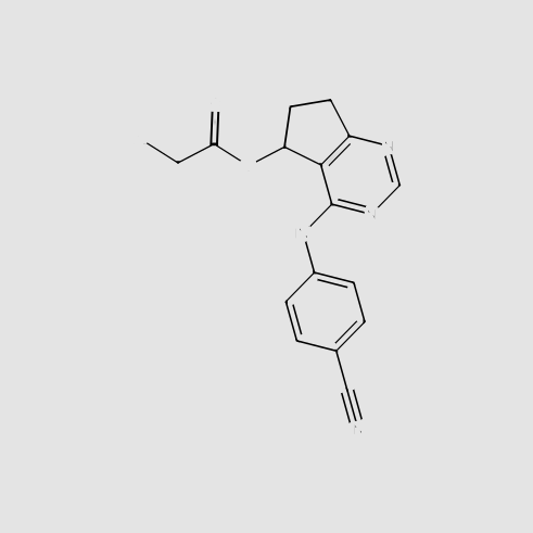 N#Cc1ccc(Nc2ncnc3c2C(OC(=O)CCl)CC3)cc1